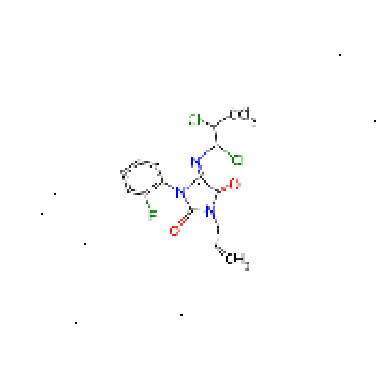 C=CCN1C(=O)C(=NC(Cl)C(Cl)C(Cl)(Cl)Cl)N(c2ccccc2F)C1=O